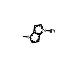 CC(C)n1ccc2c1ccn2C